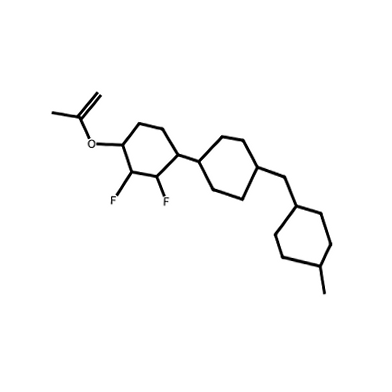 C=C(C)OC1CCC(C2CCC(CC3CCC(C)CC3)CC2)C(F)C1F